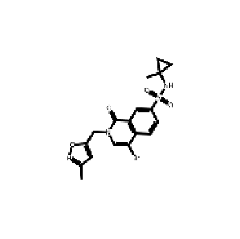 Cc1cc(Cn2cc(Br)c3ccc(S(=O)(=O)NC4(C)CC4)cc3c2=O)on1